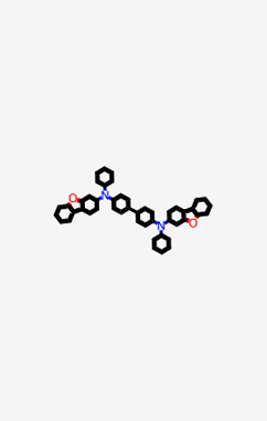 c1ccc(N(c2ccc(-c3ccc(N(c4ccccc4)c4ccc5c(c4)oc4ccccc45)cc3)cc2)c2ccc3c(c2)oc2ccccc23)cc1